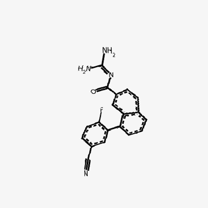 N#Cc1ccc(F)c(-c2cccc3ccc(C(=O)N=C(N)N)cc23)c1